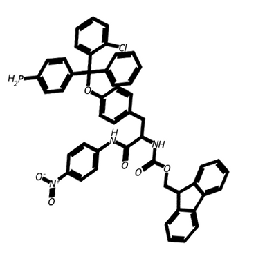 O=C(NC(Cc1ccc(OC(c2ccccc2)(c2ccc(P)cc2)c2ccccc2Cl)cc1)C(=O)Nc1ccc([N+](=O)[O-])cc1)OCC1c2ccccc2-c2ccccc21